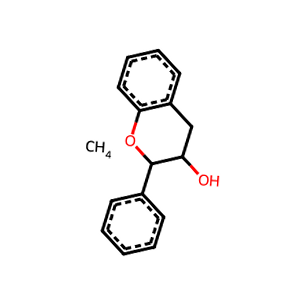 C.OC1Cc2ccccc2OC1c1ccccc1